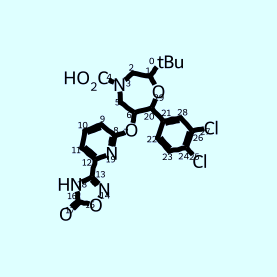 CC(C)(C)C1CN(C(=O)O)CC(Oc2cccc(-c3noc(=O)[nH]3)n2)C(c2ccc(Cl)c(Cl)c2)O1